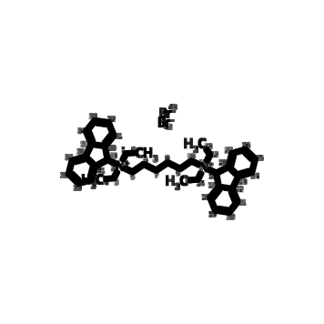 CC[N+](CC)(CCCCCC[N+](CC)(CC)C1c2ccccc2-c2ccccc21)C1c2ccccc2-c2ccccc21.[Br-].[Br-]